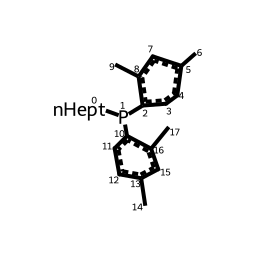 CCCCCCCP(c1ccc(C)cc1C)c1ccc(C)cc1C